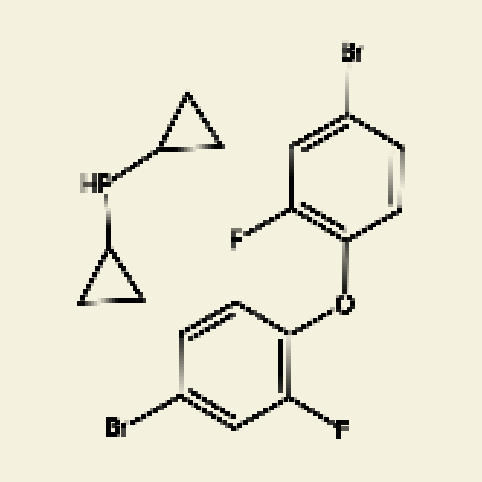 C1CC1PC1CC1.Fc1cc(Br)ccc1Oc1ccc(Br)cc1F